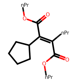 CCCOC(=O)C(CCC)=C(C(=O)OCCC)C1CCCC1